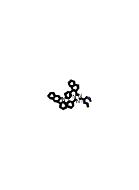 C=C/C=C(\C=C/C)c1nc(-c2ccccc2)nc(-c2ccc3ccccc3c2-c2ccc(-n3c4ccccc4c4cc5ccccc5cc43)cc2)n1